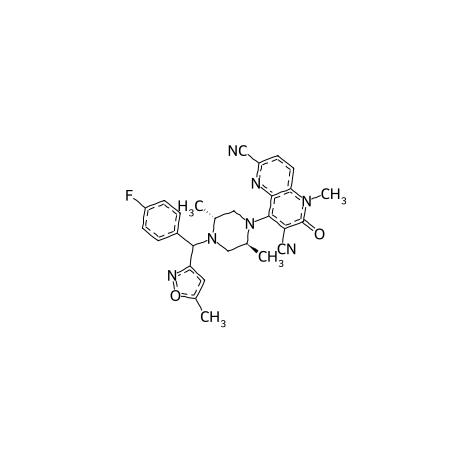 Cc1cc(C(c2ccc(F)cc2)N2C[C@H](C)N(c3c(C#N)c(=O)n(C)c4ccc(C#N)nc34)C[C@H]2C)no1